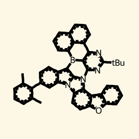 Cc1cccc(C)c1-c1ccc2c3c4n(c5c6c(ccc5n4c2c1)oc1ccccc16)-c1nc(C(C)(C)C)nc2c1B3c1cccc3cccc-2c13